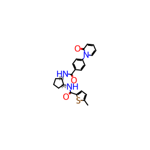 Cc1ccc(C(=O)N[C@@H]2CCC[C@@H]2NC(=O)c2ccc(-n3ccccc3=O)cc2)s1